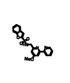 COc1cc(CNS(=O)(=O)c2cc3ccccc3o2)nc(-c2ccccn2)c1